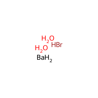 Br.O.O.[BaH2]